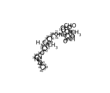 C/C=C(\C=C(/CC=O)C(=O)N(C)C1CCC(=O)NC1=O)NC1CC(Cc2ccc(C(C)(C)c3ccc(OCc4ccnc(N5CC6(CCCCC6)C5)n4)cc3)cc2)C1